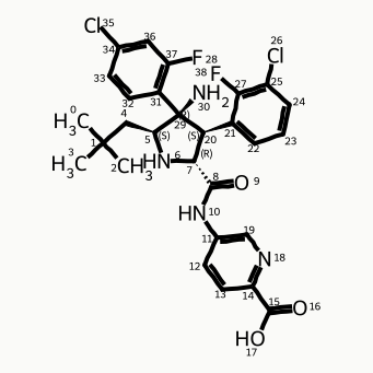 CC(C)(C)C[C@@H]1N[C@@H](C(=O)Nc2ccc(C(=O)O)nc2)[C@H](c2cccc(Cl)c2F)[C@@]1(N)c1ccc(Cl)cc1F